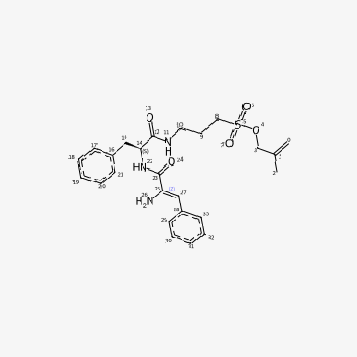 C=C(C)COS(=O)(=O)CCCNC(=O)[C@H](Cc1ccccc1)NC(=O)/C(N)=C/c1ccccc1